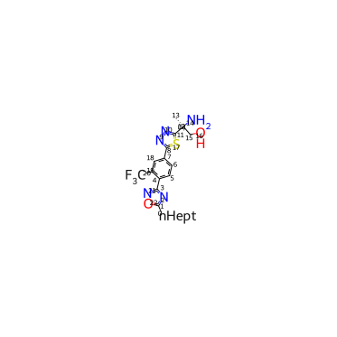 CCCCCCCc1nc(-c2ccc(-c3nnc([C@@](C)(N)CO)s3)cc2C(F)(F)F)no1